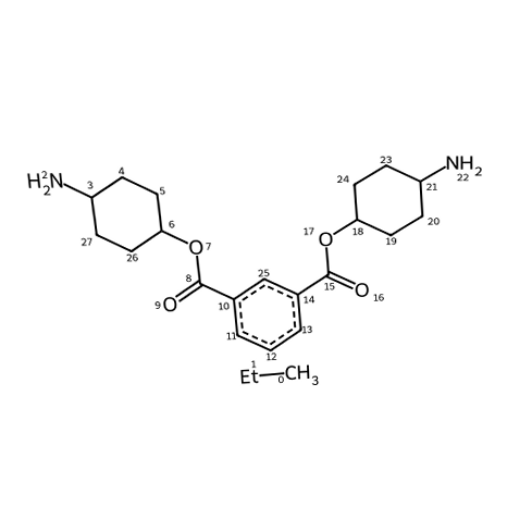 CCC.NC1CCC(OC(=O)c2cccc(C(=O)OC3CCC(N)CC3)c2)CC1